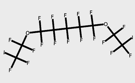 FC(F)(I)C(F)(F)OC(F)(F)C(F)(F)C(F)(F)C(F)(F)C(F)(F)OC(F)(F)C(F)(F)I